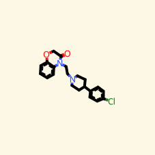 O=C1COc2ccccc2N1CCN1CCC(c2ccc(Cl)cc2)CC1